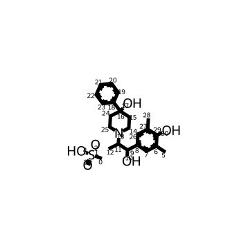 CS(=O)(=O)O.Cc1cc(C(O)C(C)N2CCC(O)(c3ccccc3)CC2)cc(C)c1O